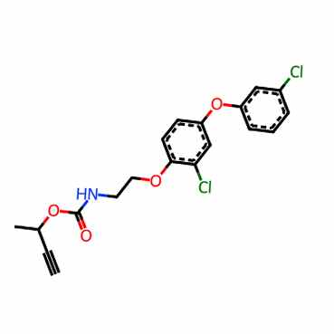 C#CC(C)OC(=O)NCCOc1ccc(Oc2cccc(Cl)c2)cc1Cl